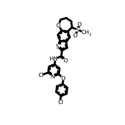 CS(=O)(=O)C1CCCOc2cc3sc(C(=O)Nc4cc(Cl)nc(Oc5ccc(Cl)cc5)c4)cc3cc21